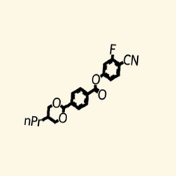 CCCC1COC(c2ccc(C(=O)Oc3ccc(C#N)c(F)c3)cc2)OC1